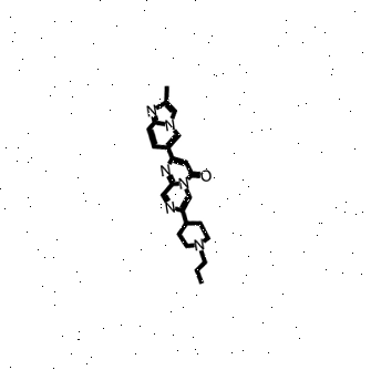 CCCN1CCC(c2cn3c(=O)cc(-c4ccc5nc(C)cn5c4)nc3cn2)CC1